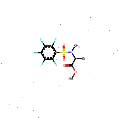 CC[C@@H](C(=O)OC(C)(C)C)N(C)S(=O)(=O)c1c(F)c(F)c(F)c(F)c1F